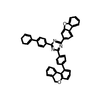 C1=CC(c2ccc(-c3nc(-c4ccc(-c5cccc6c5-c5ccccc5CO6)cc4)nc(-c4ccc5c(c4)oc4ccccc45)n3)cc2)=CCC1